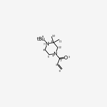 C=CC(=O)N1CCN(C(C)(C)C)C(C)(C)C1